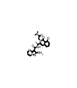 C[C@H](NC(=O)c1c(N)nn2cccnc12)c1cc2cccc(Cl)c2c(=O)n1CC(=O)N(C)C